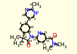 Cc1ncc(-c2ccc3c(c2)N(c2ccc(C(=O)N(C)C)cn2)C(=O)C3(C)C)cn1